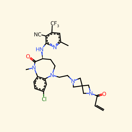 C=CC(=O)N1CC2(CN(CCN3CC[C@H](Nc4nc(C)cc(C(F)(F)F)c4C#N)C(=O)N(C)c4ccc(Cl)cc43)C2)C1